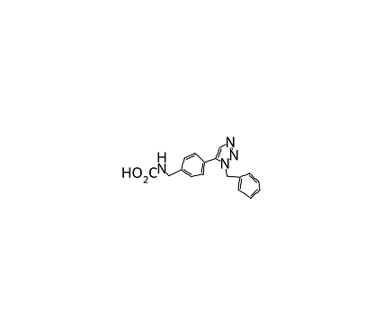 O=C(O)NCc1ccc(-c2cnnn2Cc2ccccc2)cc1